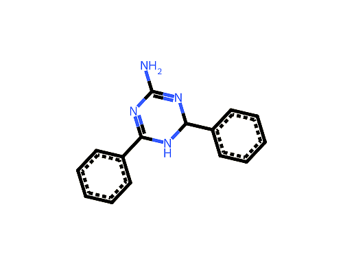 NC1=NC(c2ccccc2)NC(c2ccccc2)=N1